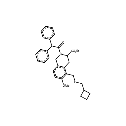 CCOC(=O)C1Cc2c(ccc(OC)c2COCC2CCC2)CN1C(=O)C(c1ccccc1)c1ccccc1